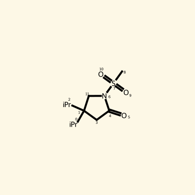 CC(C)C1(C(C)C)CC(=O)N(S(C)(=O)=O)C1